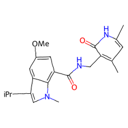 COc1cc(C(=O)NCc2c(C)cc(C)[nH]c2=O)c2c(c1)c(C(C)C)cn2C